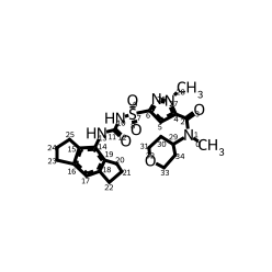 CN(C(=O)c1cc(S(=O)(=O)NC(=O)Nc2c3c(cc4c2CCC4)CCC3)nn1C)C1CCOCC1